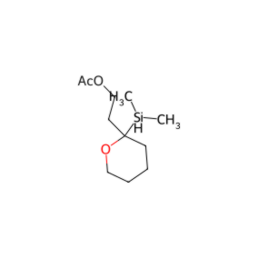 CC(=O)OCCC1([SiH](C)C)CCCCO1